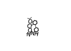 C=NC(=O)Nc1cc(-c2cccc(OC(C)C)c2Cl)ccc1C